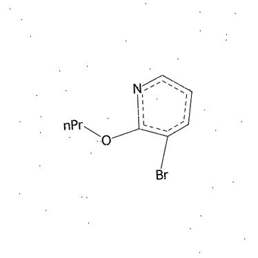 CCCOc1ncccc1Br